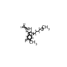 COCCCCn1cc(CNC2CC2)c2cc(F)c(C)cc21